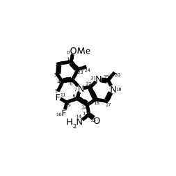 COc1ccc(C)c(-n2c(C(F)F)c(C(N)=O)c3cnc(C)nc32)c1C